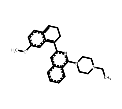 CCN1CCN(c2nc(C3=c4cc(OC)ccc4=CCC3)cc3ccccc23)CC1